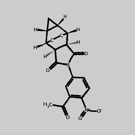 CC(=O)c1cc(N2C(=O)[C@@H]3[C@@H]4CC[C@@H]([C@@H]5C[C@@H]54)[C@@H]3C2=O)ccc1[N+](=O)[O-]